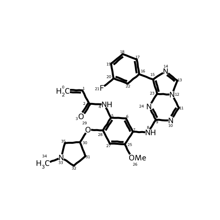 C=CC(=O)Nc1cc(Nc2ncn3cnc(-c4cccc(F)c4)c3n2)c(OC)cc1OC1CCN(C)C1